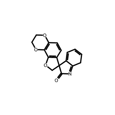 O=C1N=C2CC=CC=C2C12COc1c2ccc2c1OCCO2